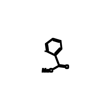 COC(=O)c1[c]cccc1